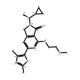 COCCOc1nc(-c2sc(C)nc2C)cc2c1C(=O)N([C@@H](C)C1CC1)C2